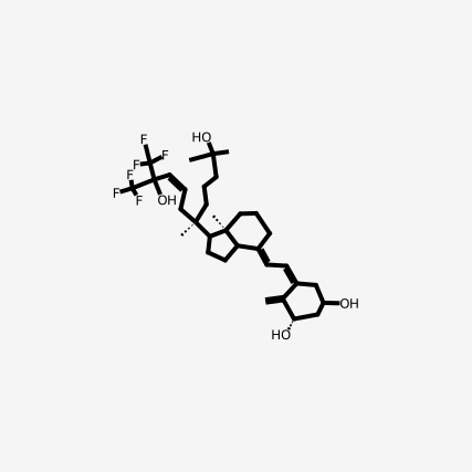 C=C1/C(=C\C=C2/CCC[C@@]3(C)C2CCC3[C@@](C)(C/C=C\C(O)(C(F)(F)F)C(F)(F)F)CCCC(C)(C)O)CC(O)C[C@@H]1O